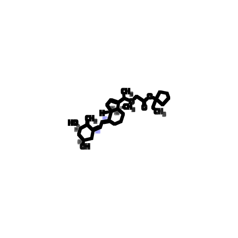 C=C1/C(=C\C=C2/CCC[C@]3(C)C(C(C)OCC(=O)OC4(CC)CCCC4)=CC[C@@H]23)C[C@@H](O)C[C@@H]1O